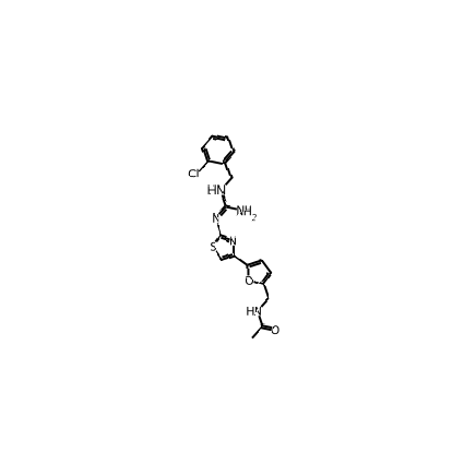 CC(=O)NCc1ccc(-c2csc(/N=C(\N)NCc3ccccc3Cl)n2)o1